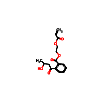 C=CC(=O)OCCOC(=O)c1ccccc1C(=O)CC(C)O